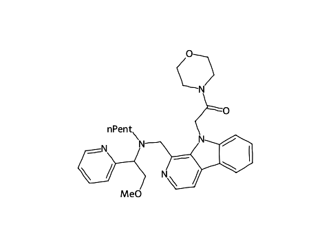 CCCCCN(Cc1nccc2c3ccccc3n(CC(=O)N3CCOCC3)c12)C(COC)c1ccccn1